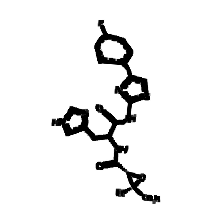 CC[C@@]1(C(=O)O)O[C@H]1C(=O)NC(Cc1c[nH]cn1)C(=O)Nc1nc(-c2ccc(F)cc2)cs1